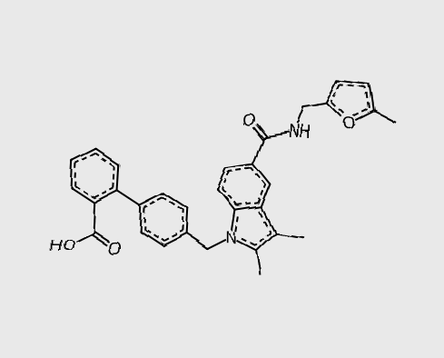 Cc1ccc(CNC(=O)c2ccc3c(c2)c(C)c(C)n3Cc2ccc(-c3ccccc3C(=O)O)cc2)o1